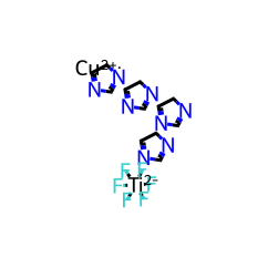 C1=NC=NC1.C1=NC=NC1.C1=NC=NC1.C1=NC=NC1.[Cu+2].[F][Ti-2]([F])([F])([F])([F])[F]